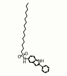 CCCCCCCCCCCCCCCCS(=O)(=O)Nc1ccc2[nH]c(-c3ccccc3)cc2c1